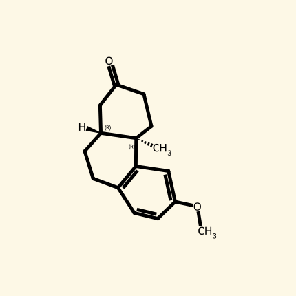 COc1ccc2c(c1)[C@]1(C)CCC(=O)C[C@H]1CC2